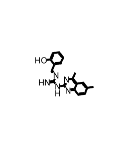 Cc1ccc2nc(NC(=N)N=Cc3ccccc3O)nc(C)c2c1